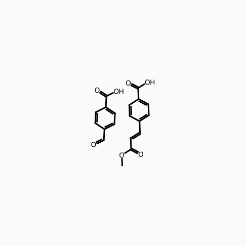 COC(=O)C=Cc1ccc(C(=O)O)cc1.O=Cc1ccc(C(=O)O)cc1